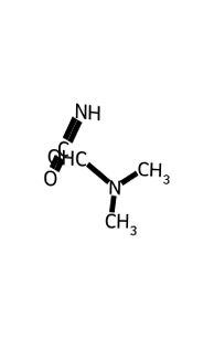 CN(C)C=O.N=C=O